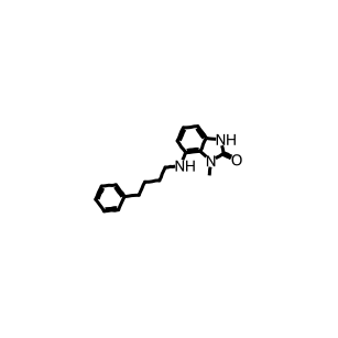 Cn1c(=O)[nH]c2cccc(NCCCCc3ccccc3)c21